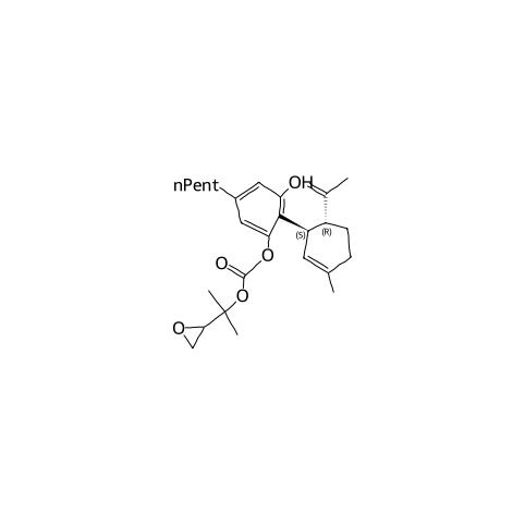 C=C(C)[C@@H]1CCC(C)=C[C@H]1c1c(O)cc(CCCCC)cc1OC(=O)OC(C)(C)C1CO1